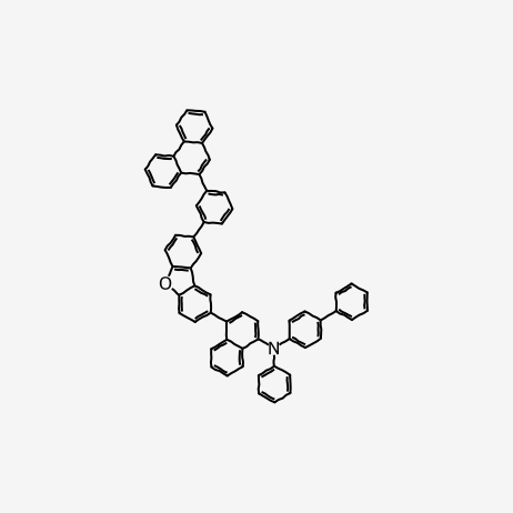 c1ccc(-c2ccc(N(c3ccccc3)c3ccc(-c4ccc5oc6ccc(-c7cccc(-c8cc9ccccc9c9ccccc89)c7)cc6c5c4)c4ccccc34)cc2)cc1